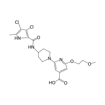 COCCOc1cc(C(=O)O)cc(N2CCC(NC(=O)c3[nH]c(C)c(Cl)c3Cl)CC2)n1